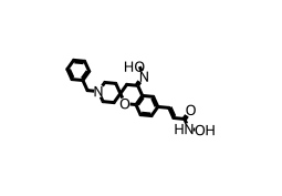 O=C(C=Cc1ccc2c(c1)C(=NO)CC1(CCN(Cc3ccccc3)CC1)O2)NO